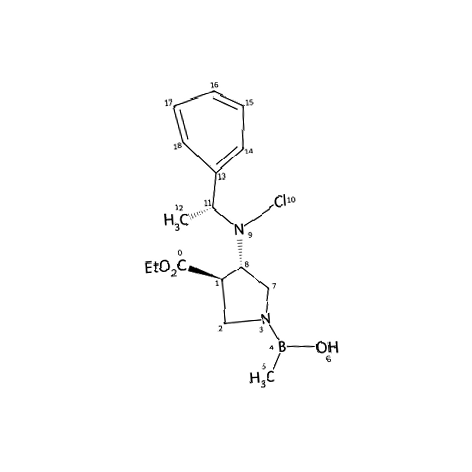 CCOC(=O)[C@@H]1CN(B(C)O)C[C@H]1N(Cl)[C@H](C)c1ccccc1